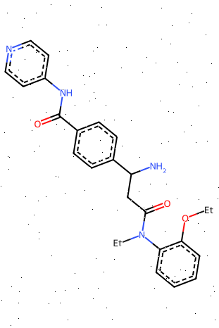 CCOc1ccccc1N(CC)C(=O)CC(N)c1ccc(C(=O)Nc2ccncc2)cc1